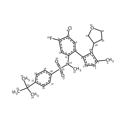 Cc1nnc(-c2cc(Cl)c(F)cc2N(C)S(=O)(=O)c2ccc(C(C)(C)C)cc2)n1C1CCOC1